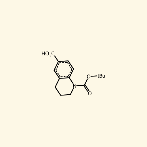 CC(C)(C)OC(=O)N1CCCc2cc(C(=O)O)ccc21